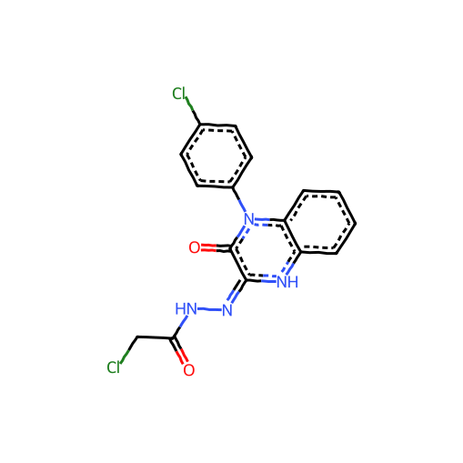 O=C(CCl)NN=c1[nH]c2ccccc2n(-c2ccc(Cl)cc2)c1=O